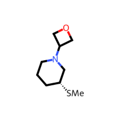 CS[C@@H]1CCCN(C2COC2)C1